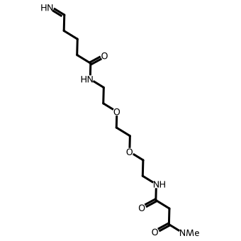 CNC(=O)CC(=O)NCCOCCOCCNC(=O)CCCC=N